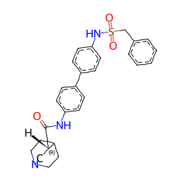 O=C(Nc1ccc(-c2ccc(NS(=O)(=O)Cc3ccccc3)cc2)cc1)[C@H]1CN2CCC1CC2